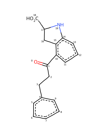 O=C(CCc1ccccc1)c1cccc2c1CC(C(=O)O)N2